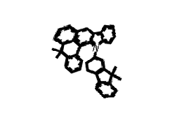 CC1(C)C2=C(CCC(n3c4ccccc4c4cc5cccc6c5c(c43)-c3ccccc3C6(C)C)C2)c2ccccc21